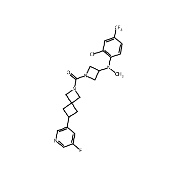 CN(c1ccc(C(F)(F)F)cc1Cl)C1CN(C(=O)N2CC3(CC(c4cncc(F)c4)C3)C2)C1